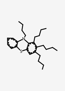 CCCCc1cc2c(c(CCCC)c1CCCC)N(CCCC)c1ccccc1S2